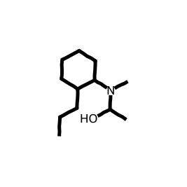 CCCC1CCCCC1N(C)C(C)O